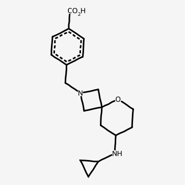 O=C(O)c1ccc(CN2CC3(CC(NC4CC4)CCO3)C2)cc1